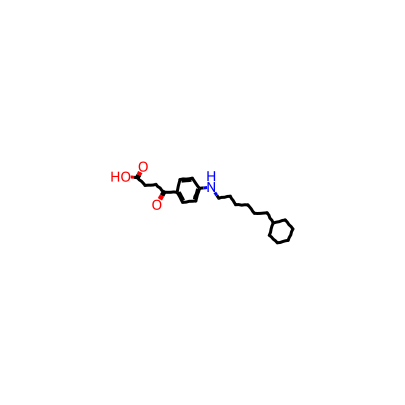 O=C(O)CCC(=O)c1ccc(NCCCCCCC2CCCCC2)cc1